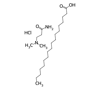 CCCCCCCCCCCCCCCCCC(=O)O.CN(C)CCC(N)=O.Cl